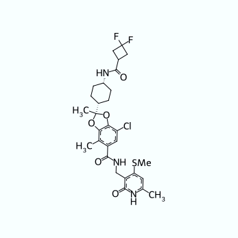 CSc1cc(C)[nH]c(=O)c1CNC(=O)c1cc(Cl)c2c(c1C)OC(C)([C@H]1CC[C@@H](NC(=O)C3CC(F)(F)C3)CC1)O2